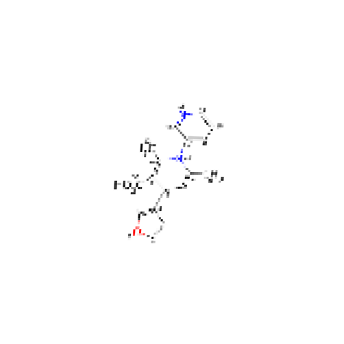 CC1=CC(c2ccoc2)C(C(=O)O)=C(C)N1c1cccnc1